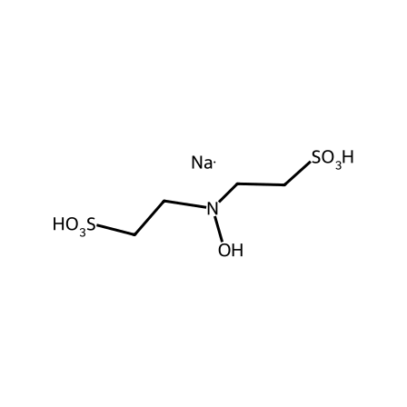 O=S(=O)(O)CCN(O)CCS(=O)(=O)O.[Na]